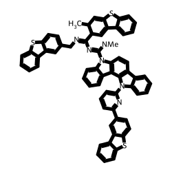 CN/C(=N\C(=N/Cc1ccc2sc3ccccc3c2c1)C1C=c2c(sc3ccccc23)=CC1C)n1c2ccccc2c2c1ccc1c3ccccc3n(-c3cccc(-c4ccc5sc6ccccc6c5c4)n3)c12